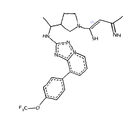 CC(=N)/C=C(\S)N1CCC(C(C)Nc2nc3c(-c4ccc(OC(F)(F)F)cc4)cccn3n2)C1